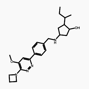 CCC(C)C1CC(NCc2ccc(-c3cc(OC)c(N4CCC4)nn3)cc2)CC1O